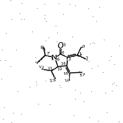 CC(C)=C1C(=O)N(C(C)C)C(C(C)C)C1=C(C)C